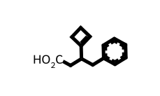 O=C(O)CC(Cc1ccccc1)C1=CCC1